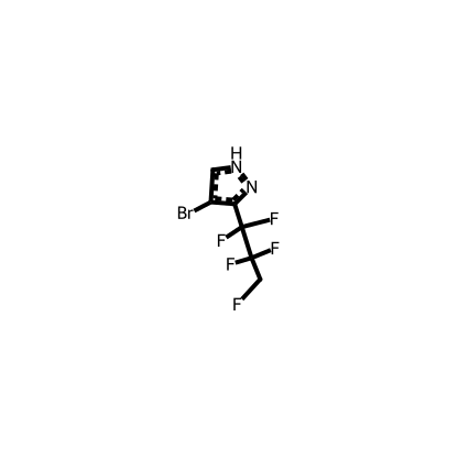 FCC(F)(F)C(F)(F)c1n[nH]cc1Br